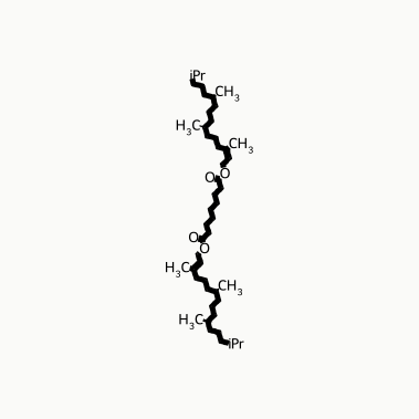 CC(=CCOC(=O)CCCCCCCC(=O)OCC=C(C)CCC[C@H](C)CCC[C@H](C)CCCC(C)C)CCC[C@H](C)CCC[C@H](C)CCCC(C)C